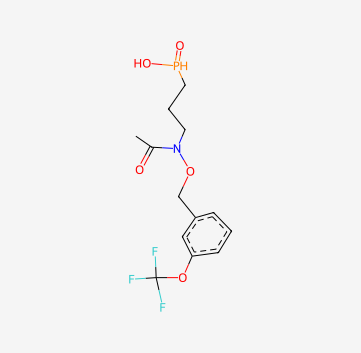 CC(=O)N(CCC[PH](=O)O)OCc1cccc(OC(F)(F)F)c1